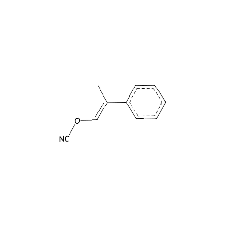 CC(=COC#N)c1ccccc1